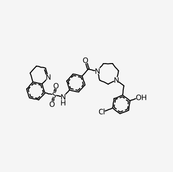 O=C(c1ccc(NS(=O)(=O)c2cccc3c2N=CCC3)cc1)N1CCCN(Cc2cc(Cl)ccc2O)CC1